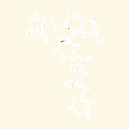 Cc1ccc(Cl)cc1[C@H](OCCN(C)C(=O)O)[C@@H]1CCCN(C(=O)NC[C@@H](N)C[C@H]2CCCOC2)C1